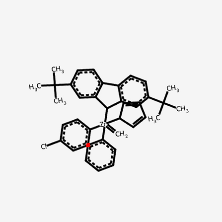 [CH2]=[Zr]([c]1ccccc1)([c]1ccc(Cl)cc1)([CH]1C=CC=C1)[CH]1c2cc(C(C)(C)C)ccc2-c2ccc(C(C)(C)C)cc21